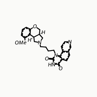 COc1cccc2c1[C@@H]1CN(CCCCn3c(=O)[nH]c(=O)c4ccc5cnccc5c43)C[C@@H]1CO2